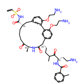 C=CS(=O)(=O)NC(=O)[C@H]1CCCC(=O)[C@H](C)NC(=O)[C@@H](CCC(C)C(=O)[C@H](CCN)NC(=O)c2ccccc2C)c2ccc(OCCN)c(c2)-c2cc(ccc2OCCN)C1